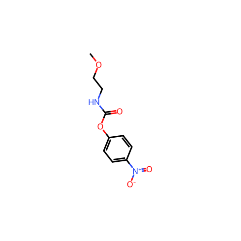 COCCNC(=O)Oc1ccc([N+](=O)[O-])cc1